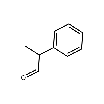 CC(C=O)c1ccccc1